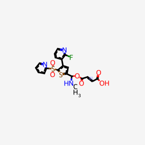 CNC(OC(=O)/C=C/C(=O)O)c1cc(-c2cccnc2F)c(S(=O)(=O)c2ccccn2)s1